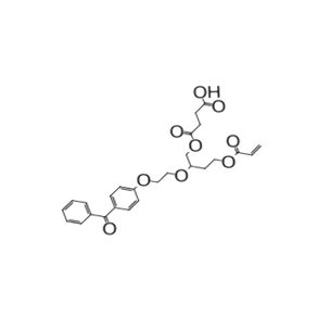 C=CC(=O)OCCC(COC(=O)CCC(=O)O)OCCOc1ccc(C(=O)c2ccccc2)cc1